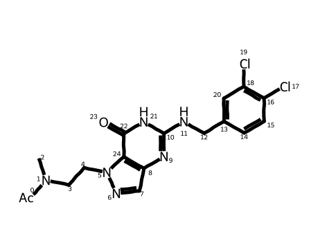 CC(=O)N(C)CCn1ncc2nc(NCc3ccc(Cl)c(Cl)c3)[nH]c(=O)c21